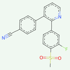 CS(=O)(=O)c1ccc(-c2ncccc2-c2ccc(C#N)cc2)cc1F